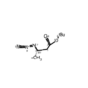 C[C@@H](CC(=O)OC(C)(C)C)N=[N+]=[N-]